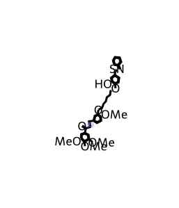 COc1ccc(/C=C/C(=O)c2cc(OC)c(OC)c(OC)c2)cc1OCCCCCCOc1ccc(-c2nc3ccccc3s2)cc1O